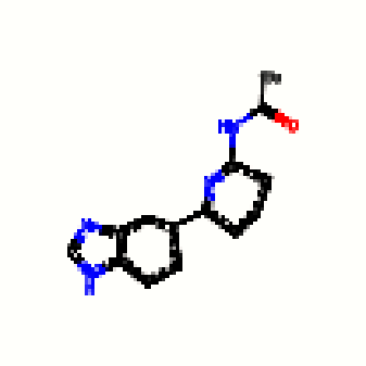 CC(C)(C)C(=O)Nc1cccc(-c2ccc3[nH]cnc3c2)n1